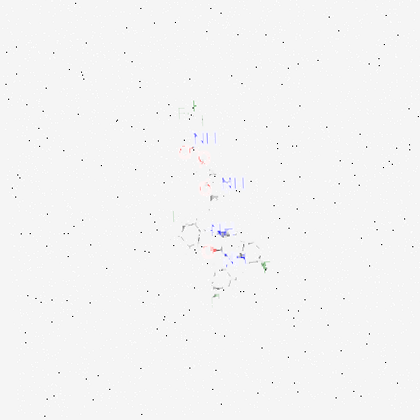 O=C(NCC(F)(F)F)OC[C@@H]1CNC[C@@H](CCc2c(F)cccc2N[C@@H](Cc2ccc(F)cc2)C(=O)Nc2ccc(F)cc2)O1